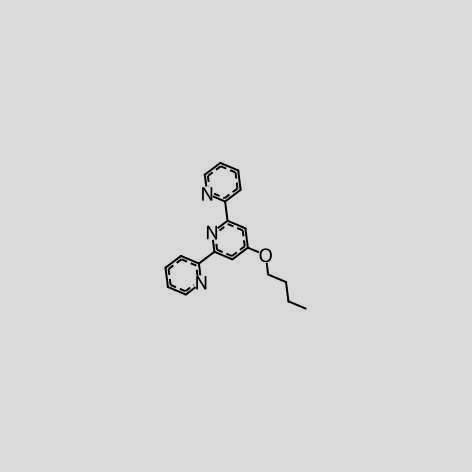 CCCCOc1cc(-c2ccccn2)nc(-c2ccccn2)c1